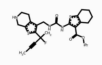 CC#CC(C)(F)c1sc2c(c1CNC(=O)Nc1sc3c(c1C(=O)OC(C)C)CCCC3)CCNC2